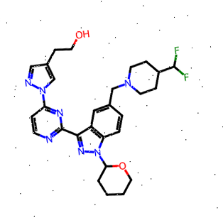 OCCc1cnn(-c2ccnc(-c3nn(C4CCCCO4)c4ccc(CN5CCC(C(F)F)CC5)cc34)n2)c1